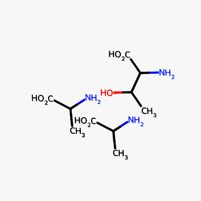 CC(N)C(=O)O.CC(N)C(=O)O.CC(O)C(N)C(=O)O